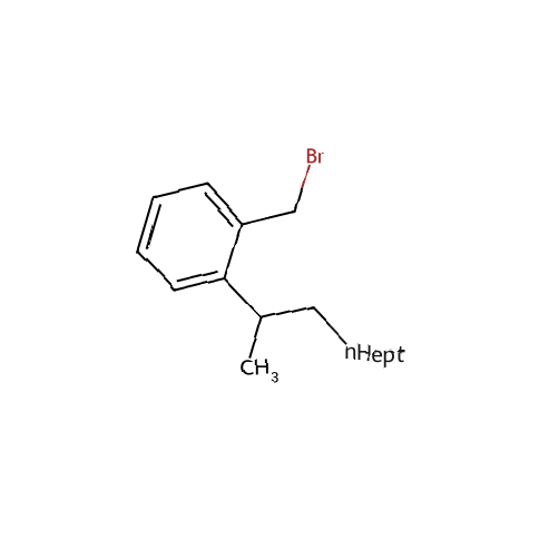 CCCCCCCCC(C)c1ccccc1CBr